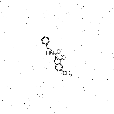 Cc1ccc2c(c1)C(=O)N(C(=O)NCCc1ccccc1)C2